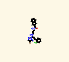 O=C(NCCCNc1cc(C2=C(Cl)CCC=C2)nc2c(Br)cnn12)C1Cc2ccccc2C1